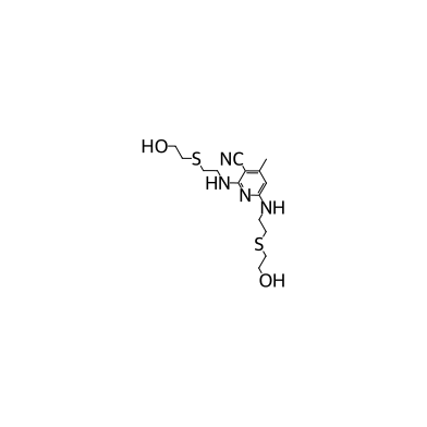 Cc1cc(NCCSCCO)nc(NCCSCCO)c1C#N